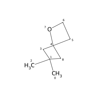 CC1(C)CC2(CCO2)C1